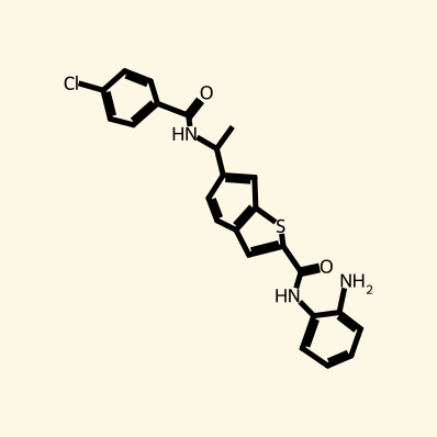 CC(NC(=O)c1ccc(Cl)cc1)c1ccc2cc(C(=O)Nc3ccccc3N)sc2c1